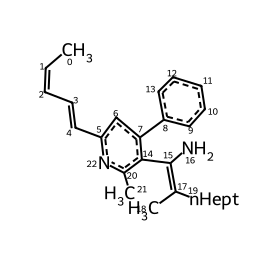 C/C=C\C=C\c1cc(-c2ccccc2)c(/C(N)=C(\C)CCCCCCC)c(C)n1